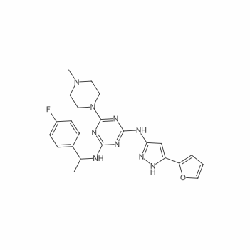 CC(Nc1nc(Nc2cc(-c3ccco3)[nH]n2)nc(N2CCN(C)CC2)n1)c1ccc(F)cc1